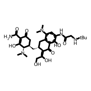 CN(C)c1cc(NC(=O)CNC(C)(C)C)c(O)c2c1C[C@@H](C[C@@H]1CC(=O)C(C(N)=O)=C(O)[C@H]1N(C)C)/C(=C(/O)CO)C2=O